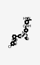 Cc1n[nH]c2ccc(NC(=O)c3ccc4c(c3)nc(CN3CC=C(c5cccc6c5O[C@](C)(c5ccc(Cl)cc5F)O6)CC3)n4C[C@@H]3CCO3)cc12